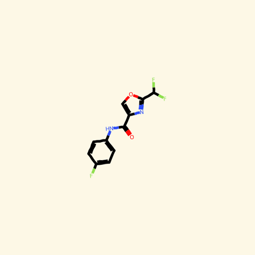 O=C(Nc1ccc(F)cc1)c1coc(C(F)F)n1